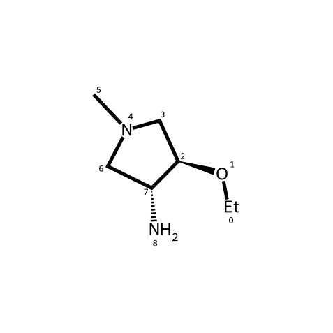 CCO[C@@H]1CN(C)C[C@H]1N